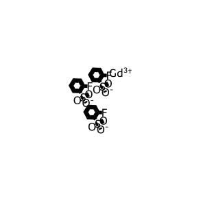 O=S(=O)([O-])c1ccccc1F.O=S(=O)([O-])c1ccccc1F.O=S(=O)([O-])c1ccccc1F.[Gd+3]